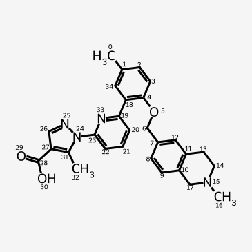 Cc1ccc(OCc2ccc3c(c2)CCN(C)C3)c(-c2cccc(-n3ncc(C(=O)O)c3C)n2)c1